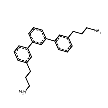 NCCCc1cccc(-c2cccc(-c3cccc(CCCN)c3)c2)c1